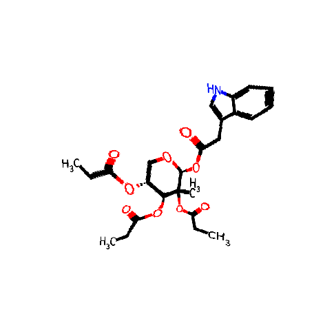 CCC(=O)O[C@@H]1CO[C@@H](OC(=O)Cc2c[nH]c3ccccc23)C(C)(OC(=O)CC)[C@H]1OC(=O)CC